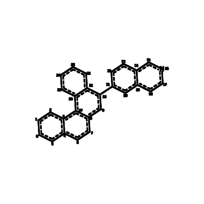 c1ccc2c(c1)ccc1cc(-c3ccc4cnccc4c3)c3ccccc3c12